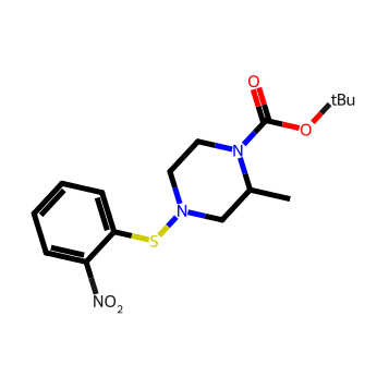 CC1CN(Sc2ccccc2[N+](=O)[O-])CCN1C(=O)OC(C)(C)C